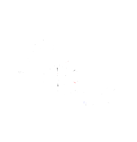 CO[C@H]1CC2C=C[C@H]3[C@H]4O[C@]2(/C(C)=C/[C@@H](C)C(C(C)O)OC1=O)[C@@H]3[C@H](O)[C@@H](C)[C@H]4OC(=O)c1cc(-c2ccsc2)c[nH]1